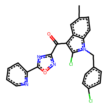 Cc1ccc2c(c1)c(C(=O)c1noc(-c3ccccn3)n1)c(Cl)n2Cc1ccc(Cl)cc1